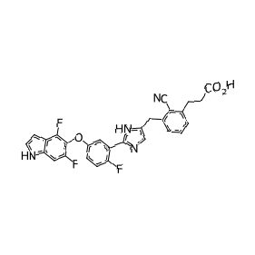 N#Cc1c(CCC(=O)O)cccc1Cc1cnc(-c2cc(Oc3c(F)cc4[nH]ccc4c3F)ccc2F)[nH]1